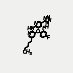 CCCCCc1cnc(Nc2ccc(-c3nnn[nH]3)cn2)c(Oc2ccc(F)cc2F)c1